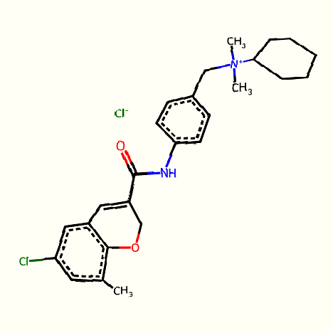 Cc1cc(Cl)cc2c1OCC(C(=O)Nc1ccc(C[N+](C)(C)C3CCCCC3)cc1)=C2.[Cl-]